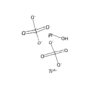 CC(C)O.O=S(=O)([O-])[O-].O=S(=O)([O-])[O-].[Ti+4]